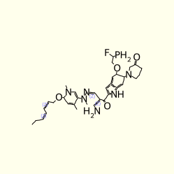 CC/C=C\C=C/COC1C=C(C)C(N(C)/N=C\C(=C\N)C(=O)c2cc3c([nH]2)=CC(N2CCCC(=O)C2)C(OCC(F)P)C=3)=CN1C